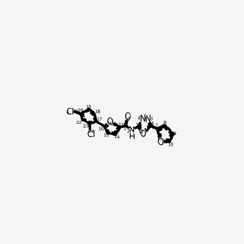 O=C(Nc1nnc(-c2ccco2)o1)c1ccc(-c2ccc(Cl)cc2Cl)o1